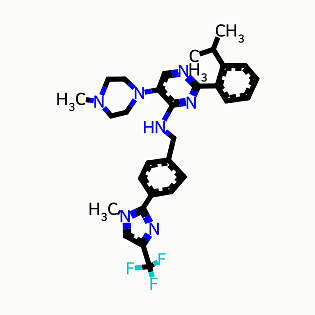 CC(C)c1ccccc1-c1ncc(N2CCN(C)CC2)c(NCc2ccc(-c3nc(C(F)(F)F)cn3C)cc2)n1